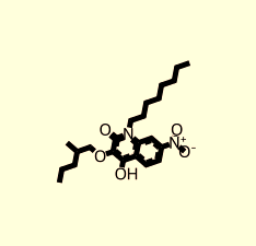 CCCCCCCCn1c(=O)c(OCC(C)CCC)c(O)c2ccc([N+](=O)[O-])cc21